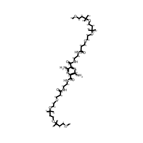 COCCC(C)(C)OCCC(C)(C)OCCOCCC(=O)NCCNC(=O)c1nc(N)c(C(=O)NCCNC(=O)CCOCCOC(C)(C)CCOC(C)(C)CCOC)nc1N